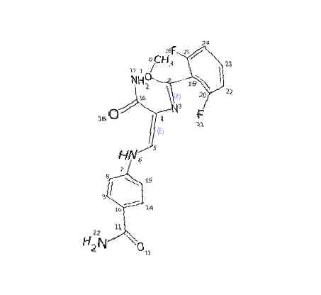 CO/C(=N\C(=C\Nc1ccc(C(N)=O)cc1)C(N)=O)c1c(F)cccc1F